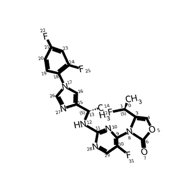 C[C@H](F)c1coc(=O)n1-c1nc(N[C@@H](C)c2cn(-c3ccc(F)cc3F)cn2)ncc1F